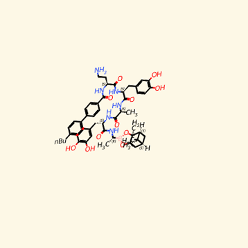 CCCCc1ccc(-c2ccc(C(=O)N[C@@H](CCN)C(=O)N[C@@H](Cc3ccc(O)c(O)c3)C(=O)N[C@@H](C)C(=O)N[C@@H](Cc3ccc(O)c(O)c3)C(=O)N[C@@H](C)B3OC4C[C@@H]5C[C@@H](C5(C)C)[C@]4(C)O3)cc2)cc1